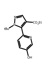 CCOC(=O)c1cnn(C(C)(C)C)c1-c1ccc(O)cn1